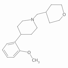 COc1ccccc1C1CCN(CC2CCOCC2)CC1